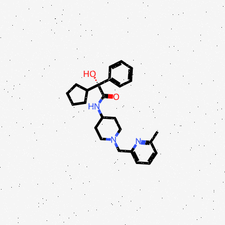 Cc1cccc(CN2CCC(NC(=O)[C@](O)(c3ccccc3)C3CCCC3)CC2)n1